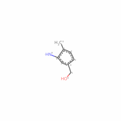 Cc1ccc(CO)cc1[NH]